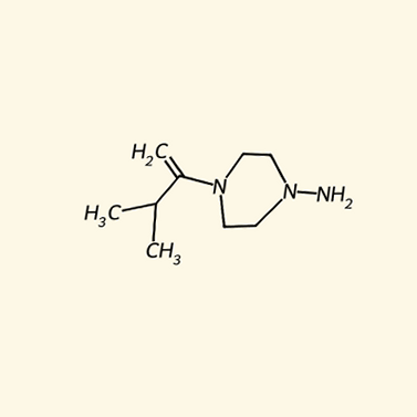 C=C(C(C)C)N1CCN(N)CC1